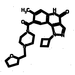 Cc1cc2[nH]c(=O)c3cnn(C4CCC4)c3c2cc1C(=O)N1CCN(CC2CCCO2)CC1